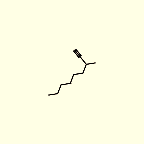 C#CC(C)CC[CH]CCC